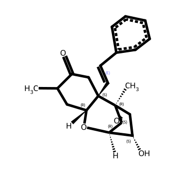 CC1C[C@H]2O[C@@H]3[C@@H](O)C[C@](C)([C@@]2(/C=C/c2ccccc2)CC1=O)[C@]31CO1